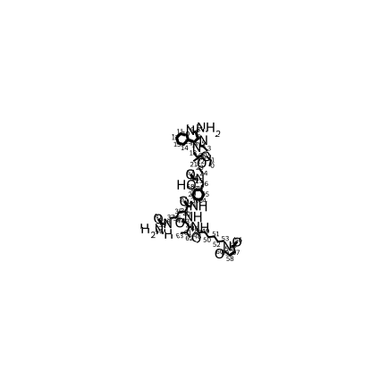 CCOCc1nc2c(N)nc3ccccc3c2n1CC(C)(C)OCCN(Cc1ccc(NC(=O)C(CCCNC(N)=O)NC(=O)C(NC(=O)CCCCCN2C(=O)C=CC2=O)C(C)C)cc1)C(=O)O